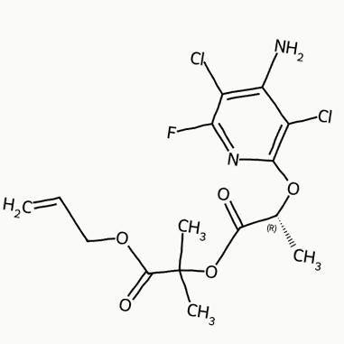 C=CCOC(=O)C(C)(C)OC(=O)[C@@H](C)Oc1nc(F)c(Cl)c(N)c1Cl